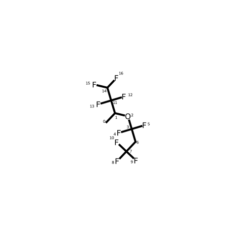 CC(OC(F)(F)CC(F)(F)F)C(F)(F)C(F)F